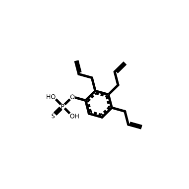 C=CCc1ccc(OP(O)(O)=S)c(CC=C)c1CC=C